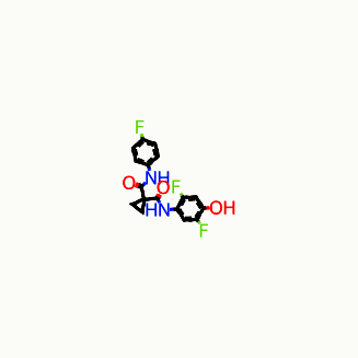 O=C(Nc1ccc(F)cc1)C1(C(=O)Nc2cc(F)c(O)cc2F)CC1